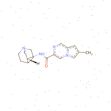 Cc1cc2cnc(C(=O)N[C@H]3CN4CCC3CC4)cn2c1